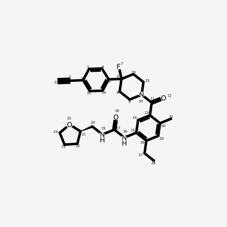 C#Cc1ccc(C2(F)CCN(C(=O)c3cc(NC(=O)NC[C@H]4CCCO4)c(CC)cc3C)CC2)cc1